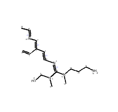 C=CC(/C=C/N=C(\N(C)CO)N(C)CCCN)=C\N=C\C